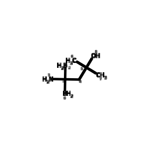 BC(B)(N)CC(C)(C)O